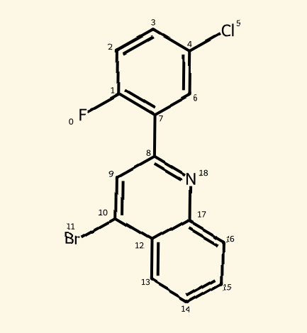 Fc1ccc(Cl)cc1-c1cc(Br)c2ccccc2n1